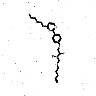 C=CCCCOC[C@@H](F)[C@H](F)COc1ccc(-c2nccc(CCCCCC)n2)cc1